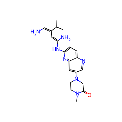 CC(C)C(=C/N)/C=C(\N)Nc1ccc2ncc(N3CCN(C)C(=O)C3)cc2n1